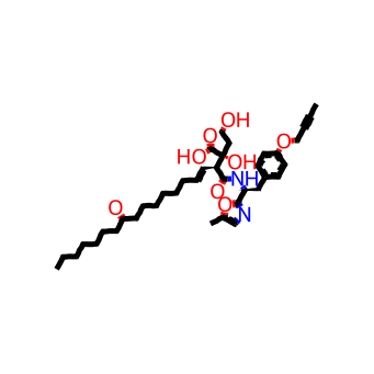 CC#CCOc1ccc(C[C@H](NC(=O)[C@@H](C=CCCCCCCC(=O)CCCCCCC)[C@@](O)(CCO)C(=O)O)c2ncc(C)o2)cc1